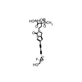 CC(CCN1Cc2cc(C#CC#C[C@@H]3C[C@@]3(F)CO)cn2C1=O)(C(=O)NO)S(C)(=O)=O